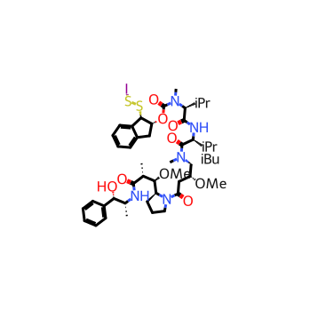 CC[C@H](C)[C@@H]([C@@H](CC(=O)N1CCC[C@H]1[C@H](OC)[C@@H](C)C(=O)N[C@H](C)[C@@H](O)c1ccccc1)OC)N(C)C(=O)[C@@H](NC(=O)[C@H](C(C)C)N(C)C(=O)O[C@@H]1Cc2ccccc2[C@H]1SSI)C(C)C